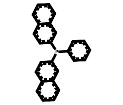 [c]1ccccc1P(c1ccc2ccccc2c1)c1ccc2ccccc2c1